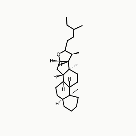 CCC(C)CCC1O[C@H]2C[C@H]3[C@@H]4CC[C@@H]5CCCC[C@]5(C)[C@H]4CC[C@]3(C)[C@H]2[C@@H]1C